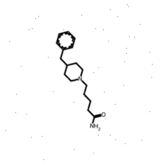 NC(=O)CCCCN1CCC(Cc2ccccc2)CC1